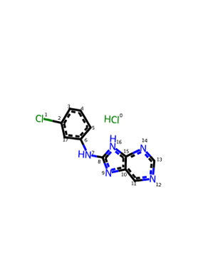 Cl.Clc1cccc(Nc2nc3cncnc3[nH]2)c1